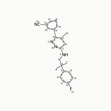 Cc1cc(NCC(C)(C)c2ccc(F)cc2)nnc1-c1cccc(C#N)c1